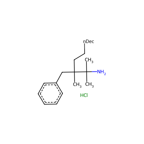 CCCCCCCCCCCCC(C)(Cc1ccccc1)C(C)(C)N.Cl